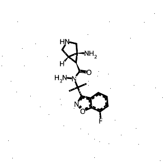 CC(C)(c1noc2c(F)cccc12)N(N)C(=O)[C@H]1[C@@H]2CNC[C@@]21N